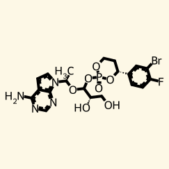 C[C@@H](OC(OP1(=O)OCC[C@H](c2ccc(F)c(Br)c2)O1)[C@@H](O)CO)n1ccc2c(N)ncnc21